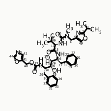 CC(C)c1nc(CN(C)C(=O)N[C@H](C(=O)N[C@@H](Cc2ccccc2)[C@H](O)[C@H](O)[C@H](Cc2ccccc2)NC(=O)OCc2cnco2)C(C)C)co1